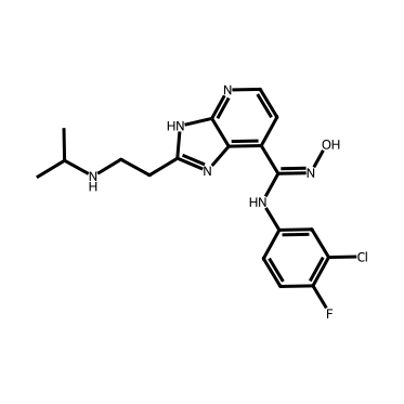 CC(C)NCCc1nc2c(/C(=N\O)Nc3ccc(F)c(Cl)c3)ccnc2[nH]1